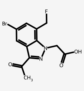 CC(=O)c1nn(CC(=O)O)c2c(CF)cc(Br)cc12